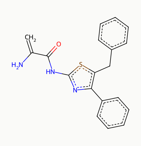 C=C(N)C(=O)Nc1nc(-c2ccccc2)c(Cc2ccccc2)s1